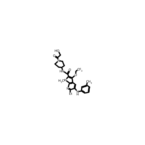 CCc1nc2c(cc1Nc1cccc(C)c1)c(OCC(F)(F)F)c(C(=O)NC1CCN(C(=O)CO)CC1)n2C